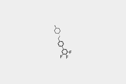 C[C@H]1CC[C@H](CCc2ccc(-c3cc(F)c(F)c(F)c3)cc2)CC1